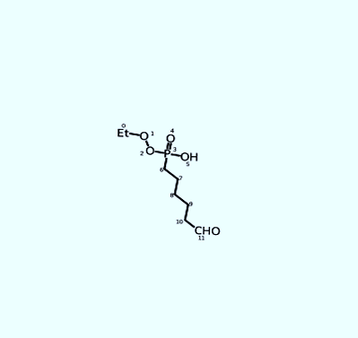 CCOOP(=O)(O)CCCCCC=O